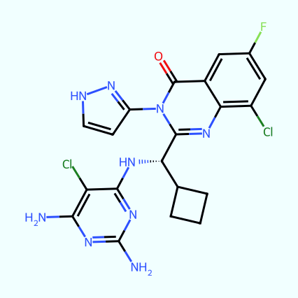 Nc1nc(N)c(Cl)c(N[C@H](c2nc3c(Cl)cc(F)cc3c(=O)n2-c2cc[nH]n2)C2CCC2)n1